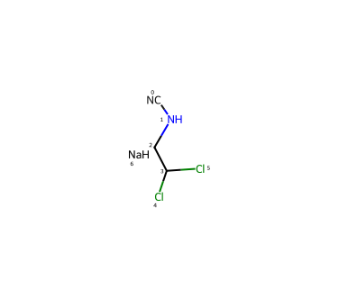 N#CNCC(Cl)Cl.[NaH]